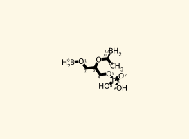 BOCC(COP(=O)(O)O)O[C@@H](B)C